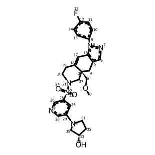 COC[C@]12Cc3cnn(-c4ccc(F)cc4)c3C=C1CCN(S(=O)(=O)c1cncc(N3CC[C@@H](O)C3)c1)C2